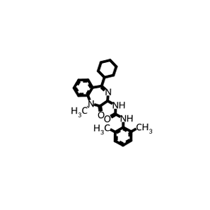 Cc1cccc(C)c1NC(=O)NC1N=C(C2CCCCC2)c2ccccc2N(C)C1=O